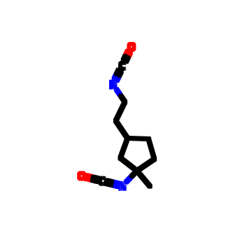 CC1(N=C=O)CCC(CCN=C=O)C1